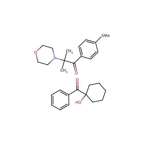 CSc1ccc(C(=O)C(C)(C)N2CCOCC2)cc1.O=C(c1ccccc1)C1(O)CCCCC1